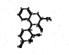 CN1Cc2ccccc2C(n2ccc(=O)[nH]c2=O)C1=O